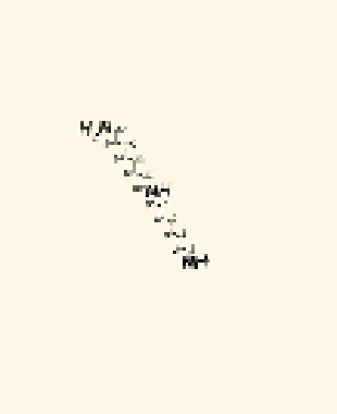 [NH]CCCCCCCCNCCCCCCCCN